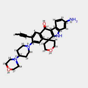 CC#Cc1cc2c(cc1N1CCC(N3CCOCC3)CC1)C1(CCOCC1)c1[nH]c3cc(N)ccc3c1C2=O